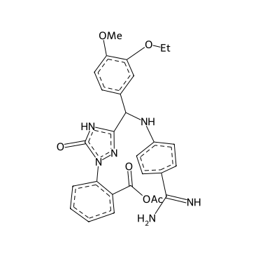 CCOc1cc(C(Nc2ccc(C(=N)N)cc2)c2nn(-c3ccccc3C(=O)OC(C)=O)c(=O)[nH]2)ccc1OC